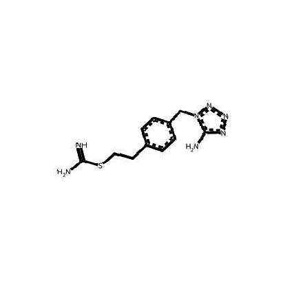 N=C(N)SCCc1ccc(Cn2nnnc2N)cc1